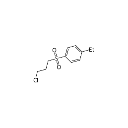 CCc1ccc(S(=O)(=O)CCCCl)cc1